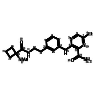 CCc1cnc(Nc2cccc(CCNC(=O)C3(NC)CCC3)c2)c(C(N)=O)n1